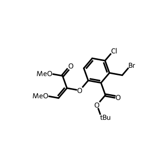 CO/C=C(/Oc1ccc(Cl)c(CBr)c1C(=O)OC(C)(C)C)C(=O)OC